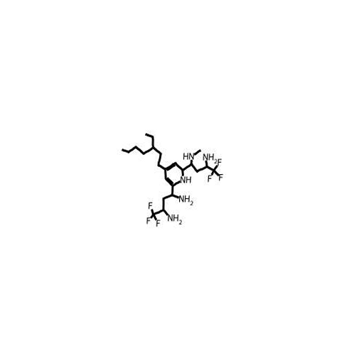 CCCCC(CC)CCC1=CC(C(CC(N)C(F)(F)F)NC)NC(C(N)CC(N)C(F)(F)F)=C1